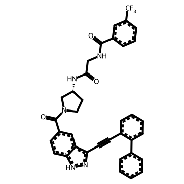 O=C(CNC(=O)c1cccc(C(F)(F)F)c1)N[C@@H]1CCN(C(=O)c2ccc3[nH]nc(C#Cc4ccccc4-c4ccccc4)c3c2)C1